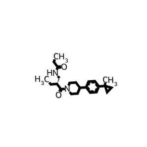 CCC(=O)NC[C@@H](CC)C(=O)N1CCC(c2ccc(C3(C)CC3)cc2)CC1